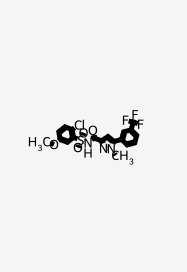 COc1ccc(Cl)c(S(=O)(=O)NC(=O)c2cc(-c3cccc(C(F)(F)F)c3)n(C)n2)c1